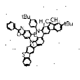 CC(C)(C)c1ccc(N2B3c4cc5nc(-c6ccccc6)oc5cc4-n4c5cc6sc7ccccc7c6cc5c5ccc(c3c54)-c3cc4c(cc32)C(C)(C)c2cc(C(C)(C)C)ccc2-4)cc1